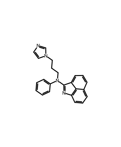 c1ccc(N(CCCn2ccnc2)C2=Nc3cccc4cccc2c34)cc1